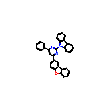 c1ccc(-c2cc(-c3ccc4oc5ccccc5c4c3)nc(-n3c4ccccc4c4ccccc43)n2)cc1